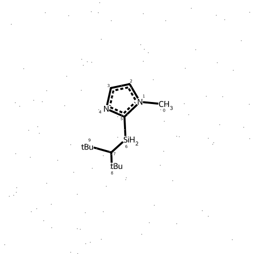 Cn1ccnc1[SiH2]C(C(C)(C)C)C(C)(C)C